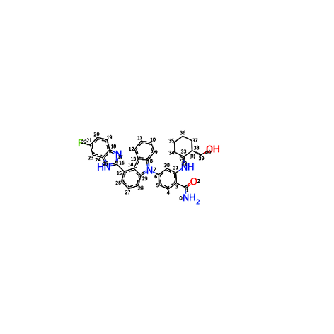 NC(=O)c1ccc(-n2c3ccccc3c3c(-c4nc5ccc(F)cc5[nH]4)cccc32)cc1N[C@H]1CCCC[C@H]1CO